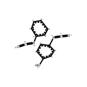 CCCCc1ccc(N=C=O)cc1.O=C=Nc1ccccc1